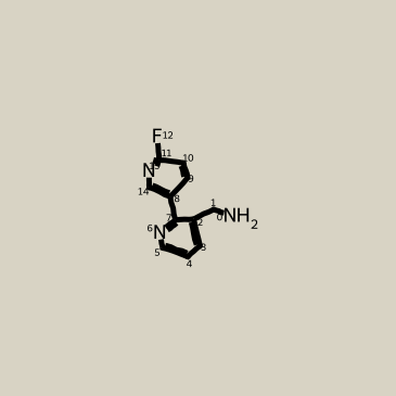 NCc1cccnc1-c1ccc(F)nc1